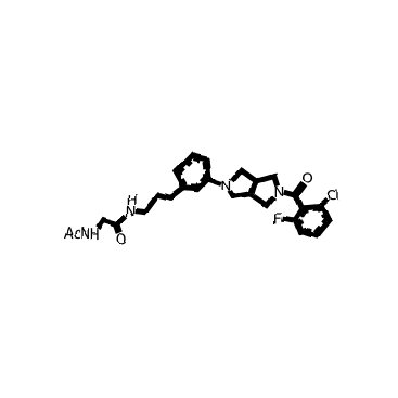 CC(=O)NCC(=O)NCCCc1cccc(N2CC3CN(C(=O)c4c(F)cccc4Cl)CC3C2)c1